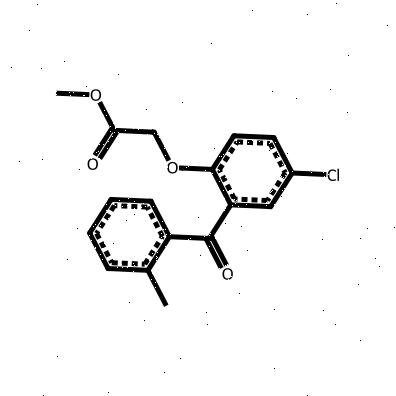 COC(=O)COc1ccc(Cl)cc1C(=O)c1ccccc1C